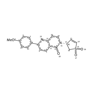 COc1ccc(-c2ccc3c(=O)n([C@@H]4C=CS(=O)(=O)C4)ccc3n2)cc1